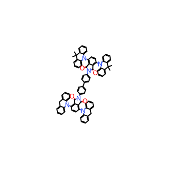 CC1(C)c2ccccc2N(c2ccc(N3c4ccccc4C(C)(C)c4ccccc43)c3c2C(=O)N(c2ccc(-c4ccc(N5C(=O)c6c(N7c8ccccc8Cc8ccccc87)ccc(N7c8ccccc8Cc8ccccc87)c6C5=O)cc4)cc2)C3=O)c2ccccc21